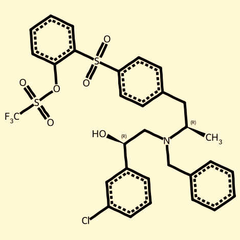 C[C@H](Cc1ccc(S(=O)(=O)c2ccccc2OS(=O)(=O)C(F)(F)F)cc1)N(Cc1ccccc1)C[C@H](O)c1cccc(Cl)c1